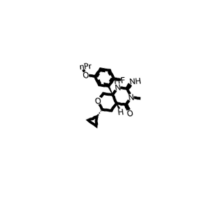 CCCOc1ccc(F)c([C@]23CO[C@@H](C4CC4)C[C@H]2C(=O)N(C)C(=N)N3)c1